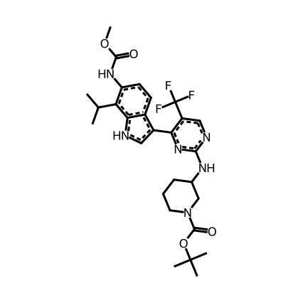 COC(=O)Nc1ccc2c(-c3nc(NC4CCCN(C(=O)OC(C)(C)C)C4)ncc3C(F)(F)F)c[nH]c2c1C(C)C